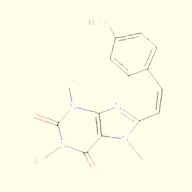 CCCn1c(=O)c2c(nc(/C=C\c3ccc(C(=O)O)cc3)n2C)n(CCC)c1=O